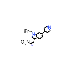 CC(C)Cn1cc(/C=C\[N+](=O)[O-])c2ccc(-c3ccncc3)cc21